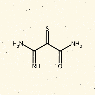 N=C(N)C(=S)C(N)=O